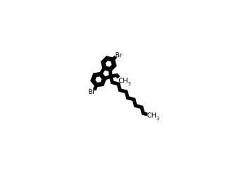 CCCCCCCCCCC1(CC)c2cc(Br)ccc2-c2ccc(Br)cc21